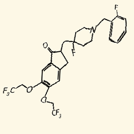 O=C1c2cc(OCC(F)(F)F)c(OCC(F)(F)F)cc2CC1CC1(F)CCN(Cc2ccccc2F)CC1